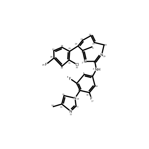 CC1=N\C(Nc2cc(F)c(-n3cnc(C)c3)c(F)c2)=N/C/C=C/C=C\1c1ccc(F)cc1Cl